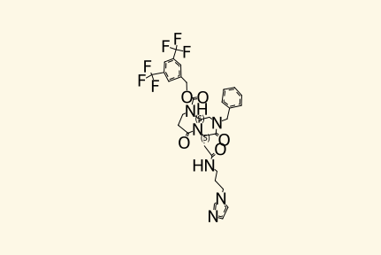 O=C(C[C@H]1C(=O)N(Cc2ccccc2)C[C@@H]2N(C(=O)OCc3cc(C(F)(F)F)cc(C(F)(F)F)c3)CCC(=O)N21)NCCCn1ccnc1